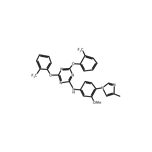 COc1cc(Nc2nc(Oc3ccccc3C(F)(F)F)nc(Oc3ccccc3C(F)(F)F)n2)ccc1-n1cnc(C)c1